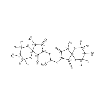 CC(=O)OC(CN1C(=O)N(C(C)=O)C2(CC(C)(C)N(C(C)=O)C(C)(C)C2)C1=O)CN1C(=O)N(C(C)=O)C2(CC(C)(C)N(C(C)=O)C(C)(C)C2)C1=O